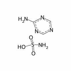 NS(=O)(=O)O.Nc1ncncn1